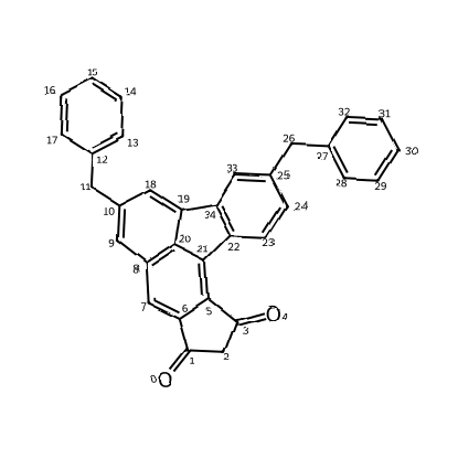 O=C1CC(=O)c2c1cc1cc(Cc3ccccc3)cc3c1c2-c1ccc(Cc2ccccc2)cc1-3